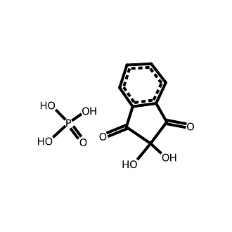 O=C1c2ccccc2C(=O)C1(O)O.O=P(O)(O)O